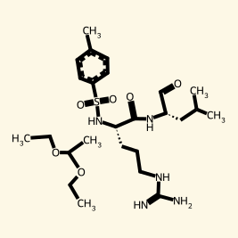 CCOC(C)OCC.Cc1ccc(S(=O)(=O)N[C@@H](CCCNC(=N)N)C(=O)N[C@H](C=O)CC(C)C)cc1